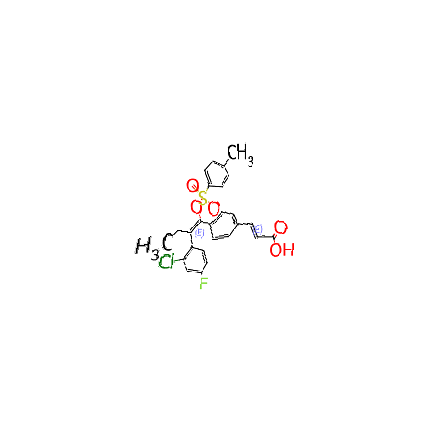 CC/C(=C(\OS(=O)(=O)c1ccc(C)cc1)c1ccc(/C=C/C(=O)O)cc1)c1ccc(F)cc1Cl